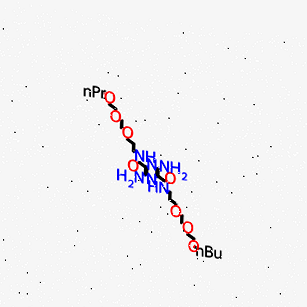 CCCCOCCOCCOCCCNC(=O)c1nc(N)c(C(=O)NCCCOCCOCCOCCC)nc1N